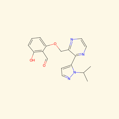 CC(C)n1nccc1-c1nccnc1COc1cccc(O)c1C=O